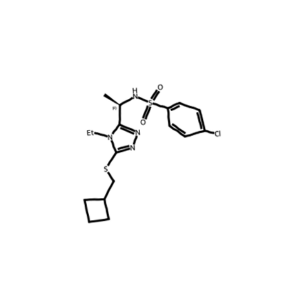 CCn1c(SCC2CCC2)nnc1[C@@H](C)NS(=O)(=O)c1ccc(Cl)cc1